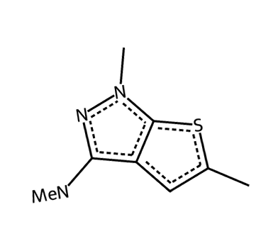 CNc1nn(C)c2sc(C)cc12